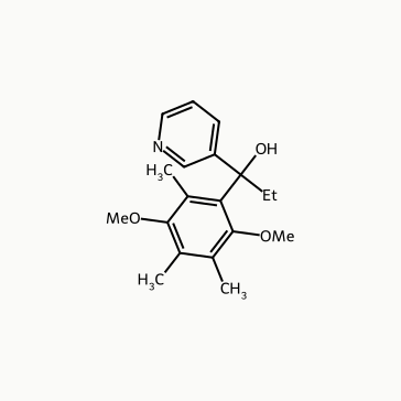 CCC(O)(c1cccnc1)c1c(C)c(OC)c(C)c(C)c1OC